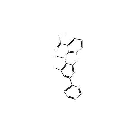 O=C(O)c1cccnc1N(Cl)c1c(F)cc(-c2ccccc2)cc1F